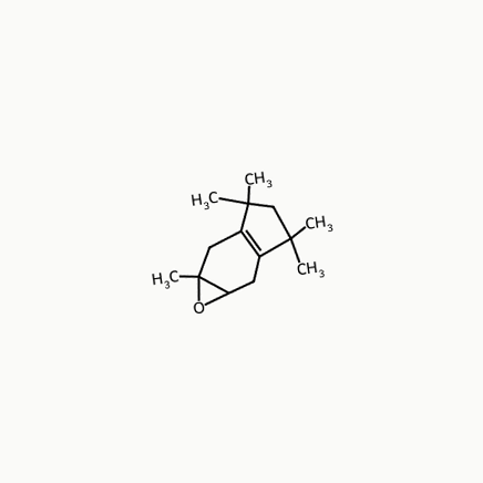 CC1(C)CC(C)(C)C2=C1CC1OC1(C)C2